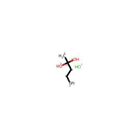 CCCCCC(C)(O)O.Cl